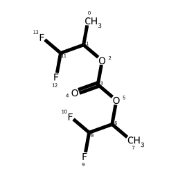 CC(OC(=O)OC(C)C(F)F)C(F)F